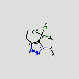 CCc1nnn(CC)c1C(Cl)(Cl)Cl